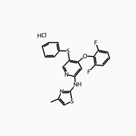 Cc1csc(Nc2cc(Oc3c(F)cccc3F)c(Sc3ccccc3)cn2)n1.Cl